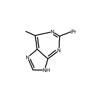 Cc1nc(C(C)C)nc2[nH]cnc12